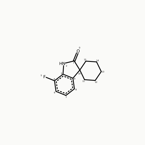 O=C1Nc2c(F)cccc2C12CCCCC2